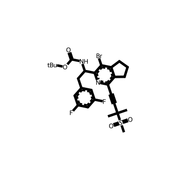 CC(C)(C)OC(=O)NC(Cc1cc(F)cc(F)c1)c1nc(C#CC(C)(C)S(C)(=O)=O)c2c(c1Br)CCC2